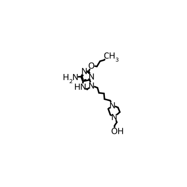 CCCCOc1nc(N)c2c(n1)N(CCCCCN1CCN(CCO)CC1)CN2